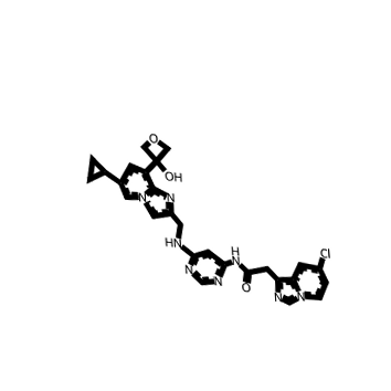 O=C(Cc1ncn2ccc(Cl)cc12)Nc1cc(NCc2cn3cc(C4CC4)cc(C4(O)COC4)c3n2)ncn1